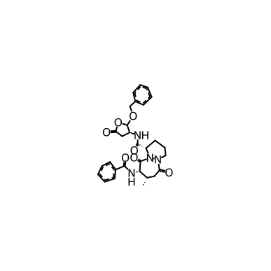 C[C@H]1CC(=O)N2CCC[C@@H](C(=O)N[C@H]3CC(=O)OC3OCc3ccccc3)N2C(=O)[C@H]1NC(=O)c1ccccc1